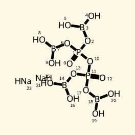 O=P(OB(O)O)(OB(O)O)OP(=O)(OB(O)O)OB(O)O.[NaH].[NaH]